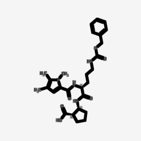 Cc1cc(C(=O)N[C@@H](CCCNC(=O)OCc2ccccc2)C(=O)N[C@H]2CCC[C@H]2C(=O)O)n(C)c1C